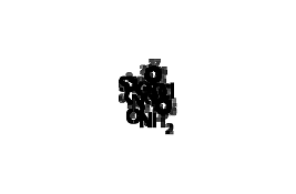 NC(=O)CN1CCc2sccc2C1.O=S(=O)(Oc1ccccc1Cl)c1ccccc1